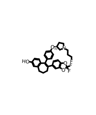 Oc1ccc2c(c1)CCCC(c1ccc3c(c1)OC(F)(F)O3)=C2c1ccc(O[C@H]2CCN(CCCF)C2)cc1